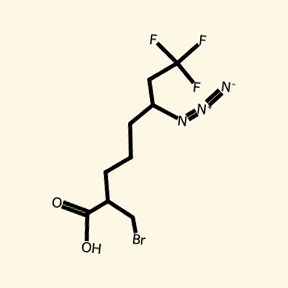 [N-]=[N+]=NC(CCCC(CBr)C(=O)O)CC(F)(F)F